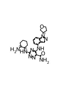 NC(=O)c1nnc(N[C@@H]2CCCC[C@@H]2N)nc1Nc1cccc2c1cnn2[C@H]1CCOC1